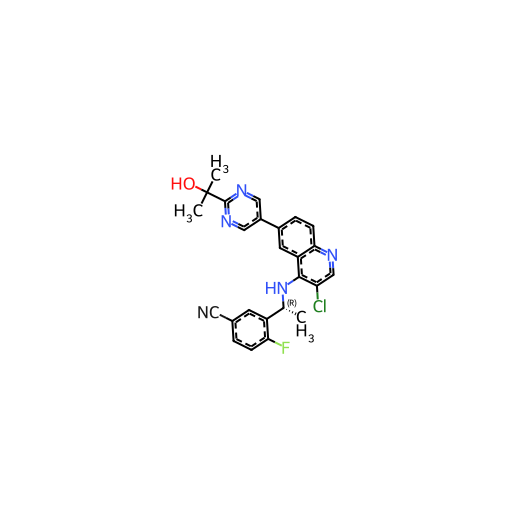 C[C@@H](Nc1c(Cl)cnc2ccc(-c3cnc(C(C)(C)O)nc3)cc12)c1cc(C#N)ccc1F